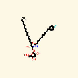 CCCCCCCCCCCCCCC[C@@H](O)[C@H](CO[C@H]1OC(CO)[C@H](O)C[C@H]1O)NC(=O)CCCCCCCCCCc1ccc(F)cc1